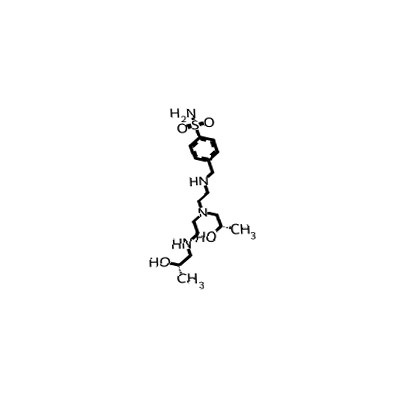 C[C@H](O)CNCCN(CCNCc1ccc(S(N)(=O)=O)cc1)C[C@H](C)O